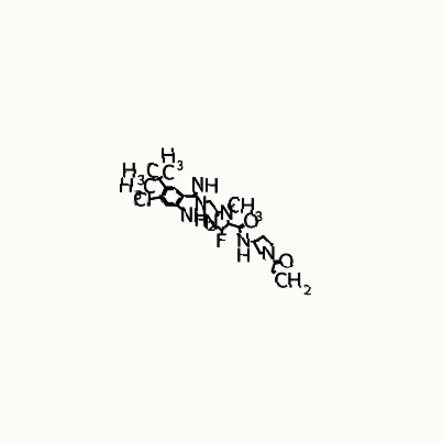 C=CC(=O)N1CC[C@@H](NC(=O)C2C(F)N=C(CNC(=N)c3cc(C(C)(C)C)c(Cl)cc3N)N2C)C1